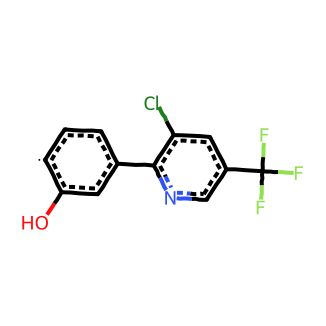 Oc1[c]ccc(-c2ncc(C(F)(F)F)cc2Cl)c1